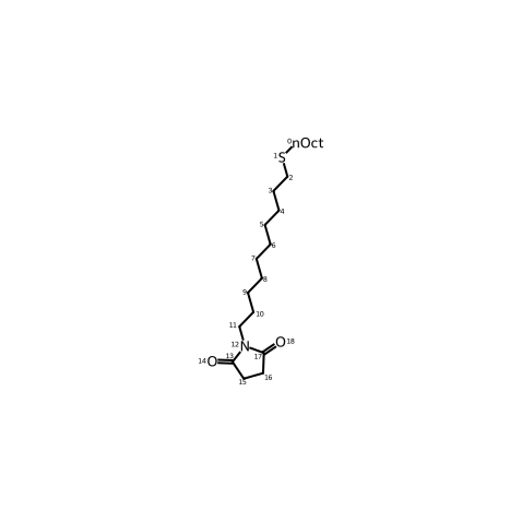 CCCCCCCCSCCCCCCCCCCN1C(=O)CCC1=O